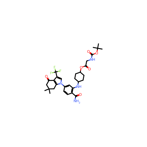 CC1(C)CC(=O)c2c(C(F)(F)F)cn(-c3ccc(C(N)=O)c(NC4CCC(OC(=O)CNC(=O)OC(C)(C)C)CC4)c3)c2C1